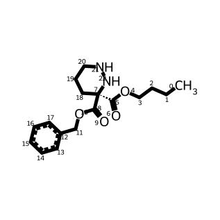 CCCCOC(=O)[C@]1(C(=O)OCc2ccccc2)CCCNN1